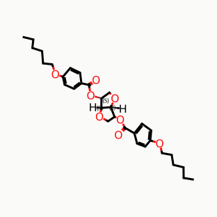 CCCCCCOc1ccc(C(=O)OC2CO[C@@H]3[C@@H](OC(=O)c4ccc(OCCCCCC)cc4)CO[C@H]23)cc1